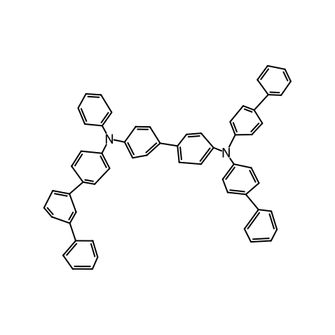 c1ccc(-c2ccc(N(c3ccc(-c4ccccc4)cc3)c3ccc(-c4ccc(N(c5ccccc5)c5ccc(-c6cccc(-c7ccccc7)c6)cc5)cc4)cc3)cc2)cc1